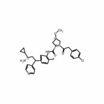 CO[C@@H]1C[C@H](C(=O)Nc2cc(C(C[C@H](N)C3CC3)c3ccncc3)ccc2F)N(C(=O)Cc2ccc(Cl)cc2)C1